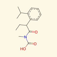 CCC(C(=O)N(C)C(=O)O)c1ccccc1C(C)C